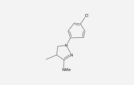 CNC1=NN(c2ccc(Cl)cc2)CC1C